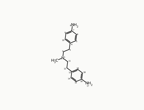 CN(CCc1ccc(N)cc1)CCc1ccc(N)cc1